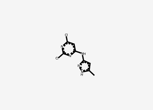 Cc1cc(Nc2cc(Cl)nc(Cl)n2)n[nH]1